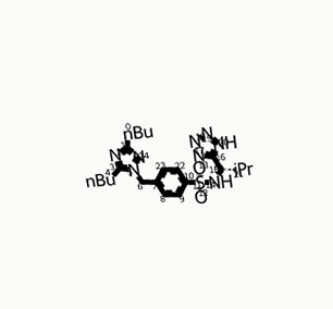 CCCCc1nc(CCCC)n(Cc2ccc(S(=O)(=O)N[C@H](c3nnn[nH]3)C(C)C)cc2)n1